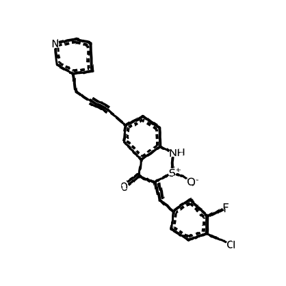 O=C1/C(=C/c2ccc(Cl)c(F)c2)[S+]([O-])Nc2ccc(C#CCc3cccnc3)cc21